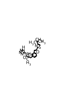 CC(C)(Cc1ccc2oc(-c3nc(C(C)(C)C)cs3)cc2c1)C(=O)Nc1nnn[nH]1